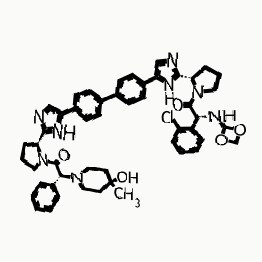 CC1(O)CCN([C@@H](C(=O)N2CCC[C@H]2c2ncc(-c3ccc(-c4ccc(-c5cnc([C@@H]6CCCN6C(=O)[C@H](NC6OCO6)c6ccccc6Cl)[nH]5)cc4)cc3)[nH]2)c2ccccc2)CC1